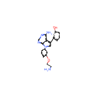 NCCOc1cccc(-n2cc(-c3cccc(O)c3)c3c(N)ncnc32)c1